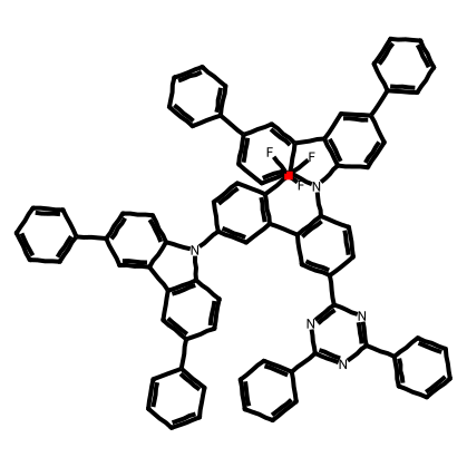 FC(F)(F)c1ccc(-n2c3ccc(-c4ccccc4)cc3c3cc(-c4ccccc4)ccc32)cc1-c1cc(-c2nc(-c3ccccc3)nc(-c3ccccc3)n2)ccc1-n1c2ccc(-c3ccccc3)cc2c2cc(-c3ccccc3)ccc21